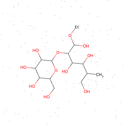 CCOC(O)C(OC1OC(CO)C(O)C(O)C1O)C(O)C(O)C(C)CO